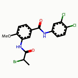 COc1ccc(C(=O)Nc2ccc(Cl)c(Cl)c2)cc1NC(=O)C(C)Br